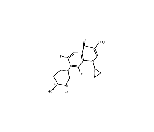 CCc1c(N2CC[C@H](O)[C@@H](CC)C2)c(F)cc2c(=O)c(C(=O)O)cn(C3CC3)c12